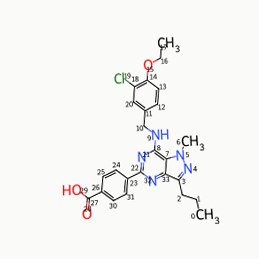 CCCc1nn(C)c2c(NCc3ccc(OCC)c(Cl)c3)nc(-c3ccc(C(=O)O)cc3)nc12